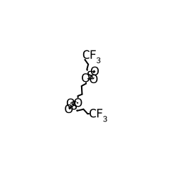 O=S(=O)(CCCC(F)(F)F)OCCCCOS(=O)(=O)CCCC(F)(F)F